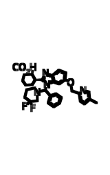 Cc1ccc(COc2ccc3nc([C@H]4CCCC[C@H]4C(=O)O)n(C(c4ccccc4)N4CCCC(F)(F)C4)c3c2)nc1